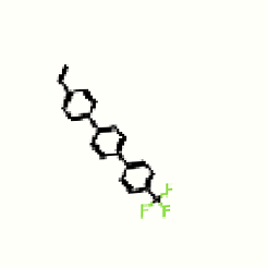 C=Cc1ccc(-c2ccc(-c3ccc(C(F)(F)F)cc3)cc2)cc1